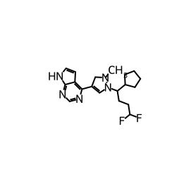 CN1CC(c2ncnc3[nH]ccc23)=CN1C(CCC(F)F)C1CCCC1